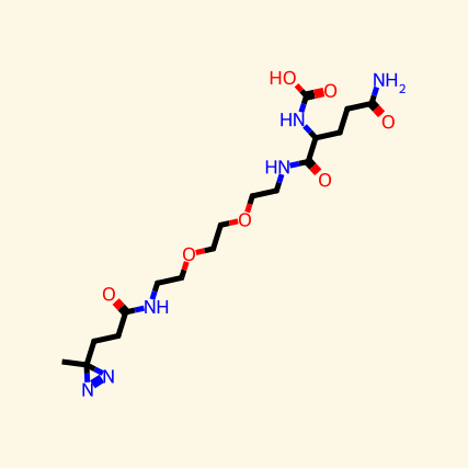 CC1(CCC(=O)NCCOCCOCCNC(=O)C(CCC(N)=O)NC(=O)O)N=N1